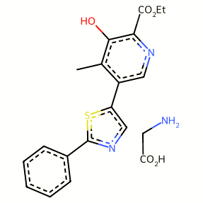 CCOC(=O)c1ncc(-c2cnc(-c3ccccc3)s2)c(C)c1O.NCC(=O)O